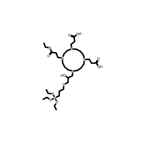 CCOC(=O)CCN1CCCN(CC(O)COCCC[Si](OCC)(OCC)OCC)CCCN(CCC(=O)O)CCCN(CCC(=O)O)CC1